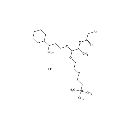 CCCCCCCCCC(CCOC(OCCOCC[N+](C)(C)C)C(C)OC(=O)CC(C)=O)C1CCCCC1.[Cl-]